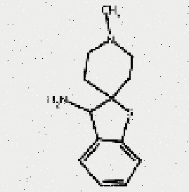 CN1CCC2(CC1)Sc1ccccc1C2N